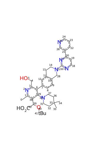 Cc1nc(CO)c(-c2ccc3c(c2)CCN(c2nccc(-c4cccnc4)n2)C3)c(N2CCC(C)(C)CC2)c1C(OC(C)(C)C)C(=O)O